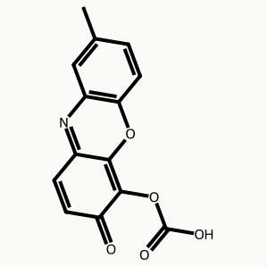 Cc1ccc2oc3c(OC(=O)O)c(=O)ccc-3nc2c1